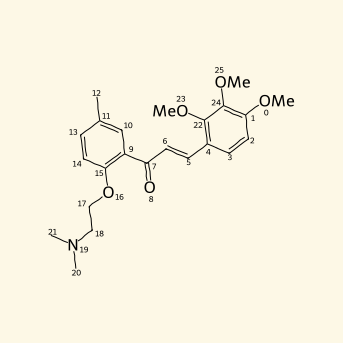 COc1ccc(C=CC(=O)c2cc(C)ccc2OCCN(C)C)c(OC)c1OC